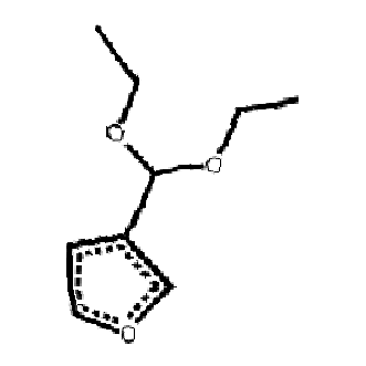 CCOC(OCC)c1ccoc1